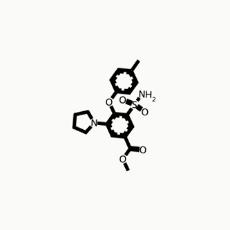 COC(=O)c1cc(N2CCCC2)c(Oc2ccc(C)cc2)c(S(N)(=O)=O)c1